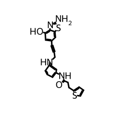 Nc1nc2c(O)cc(C#CCNc3cccc(NC(=O)CCc4cccs4)c3)cc2s1